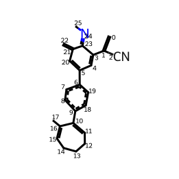 C=C(C#N)C1=CC(c2ccc(C3=CCCCC=C3C)cc2)=CC(=C)/C1=N\C